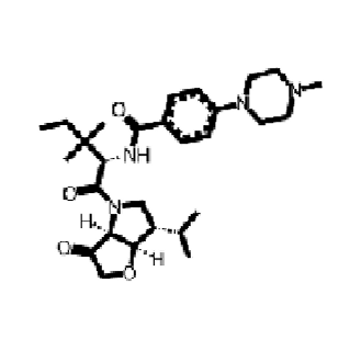 CCC(C)(C)[C@H](NC(=O)c1ccc(N2CCN(C)CC2)cc1)C(=O)N1C[C@H](C(C)C)[C@H]2OCC(=O)[C@H]21